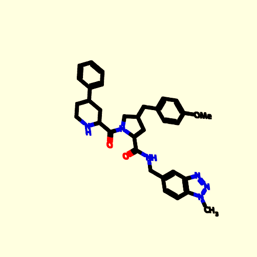 COc1ccc(CC2CC(C(=O)NCc3ccc4c(c3)nnn4C)N(C(=O)C3CC(c4ccccc4)CCN3)C2)cc1